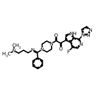 CN(C)CCC/N=C(\c1ccccc1)N1CCN(C(=O)C(=O)c2c[nH]c3c(-n4ccnn4)ncc(F)c23)CC1